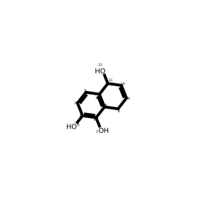 Oc1ccc2c(c1O)CC=CC2O